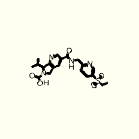 CCS(=O)(=O)c1ccc(CNC(=O)c2cnc3c(c2)CN(C(=O)O)C3C(C)C)nc1